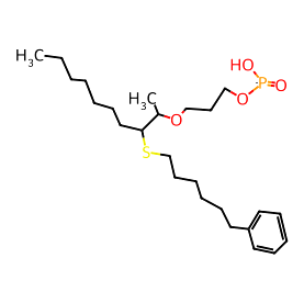 CCCCCCCC(SCCCCCCc1ccccc1)C(C)OCCCO[P](=O)O